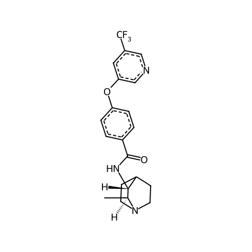 C[C@H]1[C@H](NC(=O)c2ccc(Oc3cncc(C(F)(F)F)c3)cc2)C2CCN1CC2